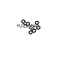 CC1(C)c2ccccc2-c2ccc(-c3nc(-c4ccccc4)nc(-n4c5ccccc5c5cccc(-c6ccccc6)c54)n3)cc21